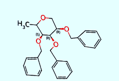 CC1OC[C@@H](OCc2ccccc2)[C@@H](OCc2ccccc2)[C@H]1OCc1ccccc1